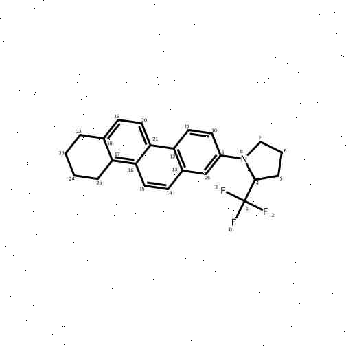 FC(F)(F)C1CCCN1c1ccc2c(ccc3c4c(ccc32)CCCC4)c1